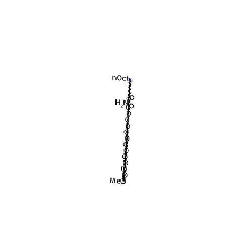 CCCCCCCC/C=C\CCCCCCCC(=O)OC[C@H](N)C(=O)OCCOCCOCCOCCOCCOCCOCCOCCOCCOCCOCCOCCOC